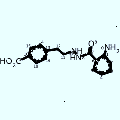 Nc1ccccc1C(=O)NNCCc1ccc(C(=O)O)cc1